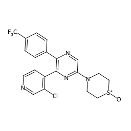 [O-][S+]1CCN(c2cnc(-c3ccc(C(F)(F)F)cc3)c(-c3ccncc3Cl)n2)CC1